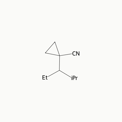 CCC(C(C)C)C1(C#N)CC1